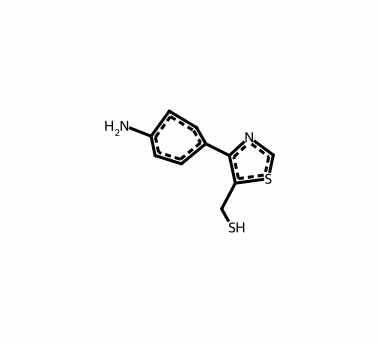 Nc1ccc(-c2ncsc2CS)cc1